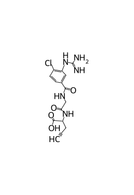 C#CCC(NC(=O)CNC(=O)c1ccc(Cl)c(NC(=N)N)c1)C(=O)O